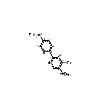 CCCCCCCCCCc1cnc(-c2ccc(CCCCCCC)cc2)nc1F